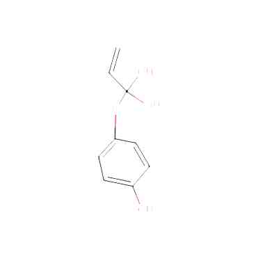 C=CC(O)(O)Oc1ccc(O)cc1